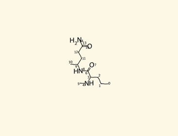 CCCC(NC)C(=O)NC(C)CCC(N)=O